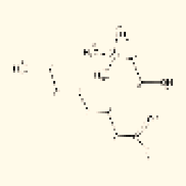 CCCCCCCC(=O)[O-].C[N+](C)(C)CCO